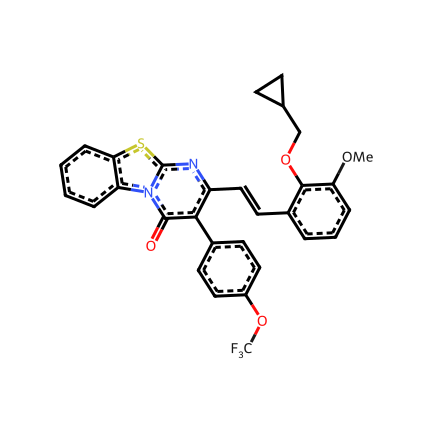 COc1cccc(C=Cc2nc3sc4ccccc4n3c(=O)c2-c2ccc(OC(F)(F)F)cc2)c1OCC1CC1